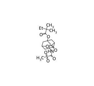 CCC(C)(C)C(=O)OC12CC3CC(NC(=O)S(C)(=O)=O)(CC(C1)C(=O)O3)C2